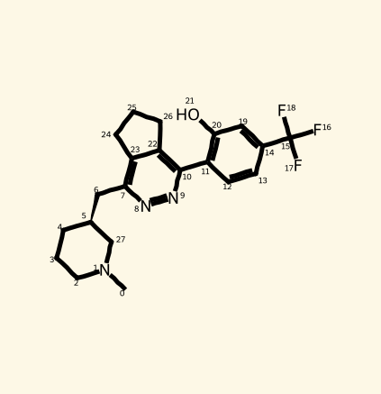 CN1CCC[C@@H](Cc2nnc(-c3ccc(C(F)(F)F)cc3O)c3c2CCC3)C1